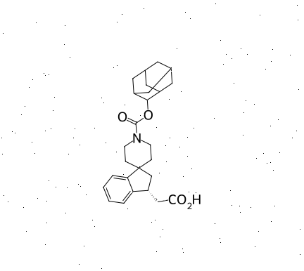 O=C(O)C[C@H]1CC2(CCN(C(=O)OC3C4CC5CC(C4)CC3C5)CC2)c2ccccc21